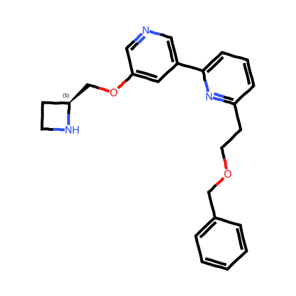 c1ccc(COCCc2cccc(-c3cncc(OC[C@@H]4CCN4)c3)n2)cc1